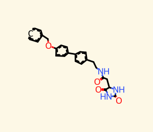 O=C(CC1NC(=O)NC1=O)NCCc1ccc(-c2ccc(OCc3ccccc3)cc2)cc1